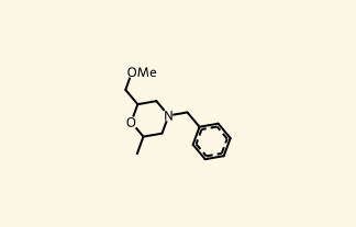 COCC1CN(Cc2ccccc2)CC(C)O1